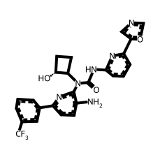 Nc1ccc(-c2cccc(C(F)(F)F)c2)nc1N(C(=O)Nc1cccc(-c2cnco2)n1)C1CC[C@H]1O